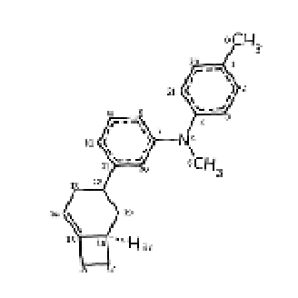 Cc1ccc(N(C)c2cccc(C3CC=C4CC[C@@H]4C3)c2)cc1